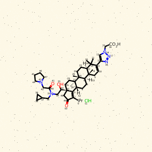 CC(C)C1=C2[C@H]3CC[C@@H]4[C@@]5(C)CC=C(c6cn(CC(=O)O)nn6)C(C)(C)[C@@H]5CC[C@@]4(C)[C@]3(C)CC[C@@]2(C(O)CN(CC2CC2)C(=O)CN2CCCC2)CC1=O.Cl